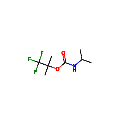 CC(C)NC(=O)OC(C)(C)C(F)(F)F